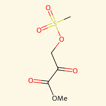 COC(=O)C(=O)COS(C)(=O)=O